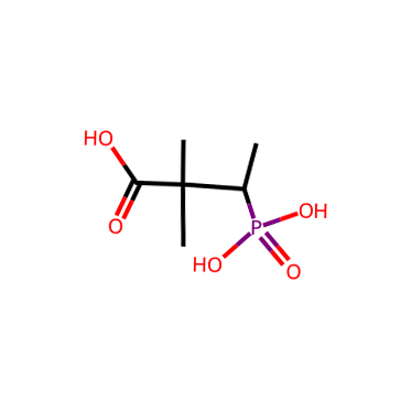 CC(C(C)(C)C(=O)O)P(=O)(O)O